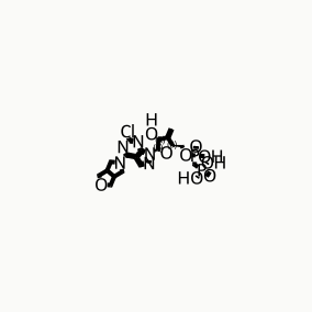 C=C1[C@@H](O)[C@H](n2ncc3c(N4CC5COCC5C4)nc(Cl)nc32)O[C@@H]1COP(=O)(O)CP(=O)(O)O